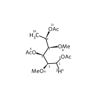 [2H]C(OC(C)=O)[C@@H](OC)[C@@H](OC(C)=O)[C@H](OC)[C@@H](C)OC(C)=O